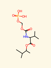 CC(C)C(C)OC(=O)C(NC(=O)OCOP(=O)(O)O)C(C)C